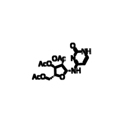 CC(=O)OC[C@H]1O[C@@H](Nc2cc[nH]c(=O)n2)[C@@H](OC(C)=O)[C@@H]1OC(C)=O